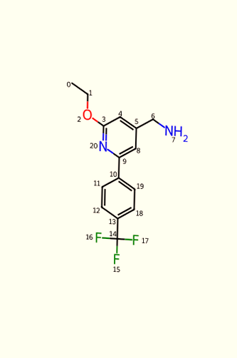 CCOc1cc(CN)cc(-c2ccc(C(F)(F)F)cc2)n1